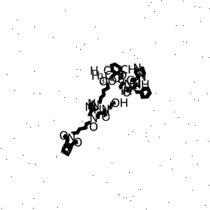 CC(C)CC(NC(=O)[C@H](Cc1ccccc1)NC(=O)c1cnccn1)B1OC2(C)CCCC(C)(C)C2(COC(=O)CCCCCn2cc(CN(CCC(=O)NCCO)C(=O)CCCCCN3C(=O)C4C5C=CC(C5)C4C3=O)nn2)O1